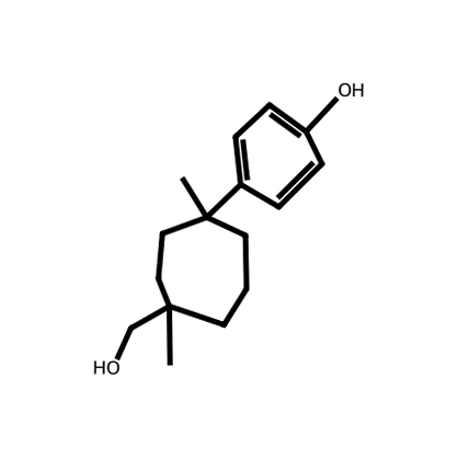 CC1(CO)CCCC(C)(c2ccc(O)cc2)CC1